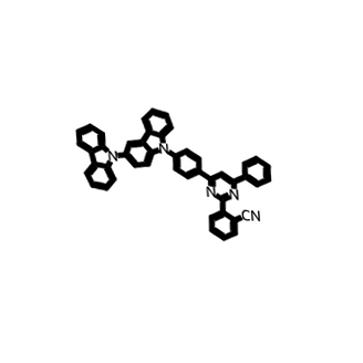 N#Cc1ccccc1-c1nc(-c2ccccc2)cc(-c2ccc(-n3c4ccccc4c4cc(-n5c6ccccc6c6ccccc65)ccc43)cc2)n1